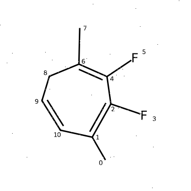 CC1=C(F)C(F)=C(C)CC=C1